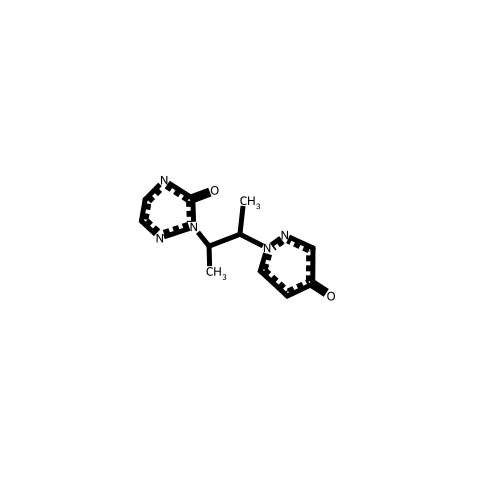 CC(C(C)n1nccnc1=O)n1ccc(=O)cn1